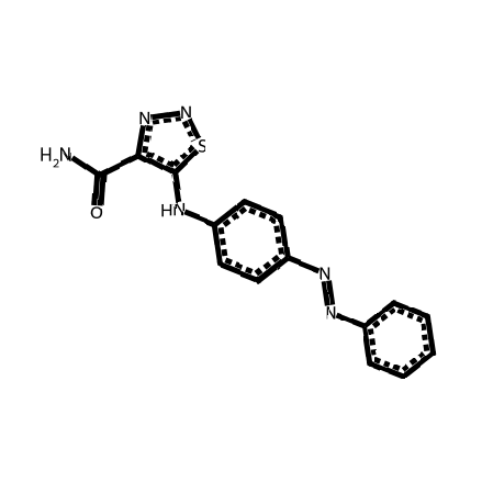 NC(=O)c1nnsc1Nc1ccc(N=Nc2ccccc2)cc1